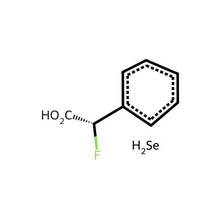 O=C(O)[C@@H](F)c1ccccc1.[SeH2]